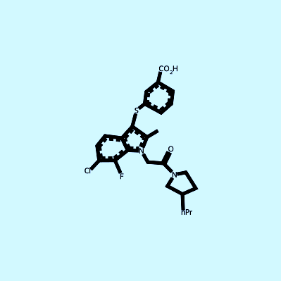 CCCC1CCN(C(=O)Cn2c(C)c(Sc3cccc(C(=O)O)c3)c3ccc(Cl)c(F)c32)C1